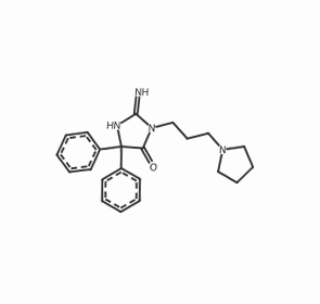 N=C1NC(c2ccccc2)(c2ccccc2)C(=O)N1CCCN1CCCC1